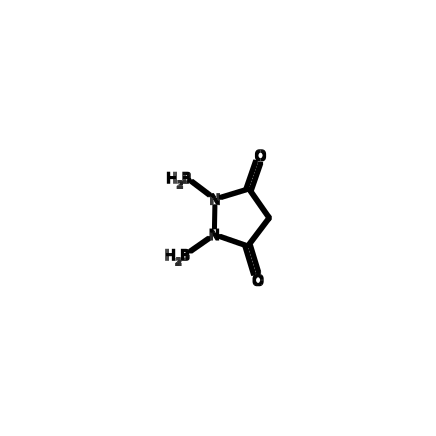 BN1C(=O)CC(=O)N1B